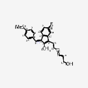 CSc1ccc(/C=C2/C(C)=C(CCON=CCO)c3cc(F)ccc32)cc1